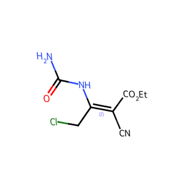 CCOC(=O)/C(C#N)=C(/CCl)NC(N)=O